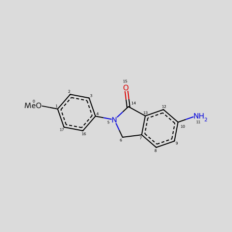 COc1ccc(N2Cc3ccc(N)cc3C2=O)cc1